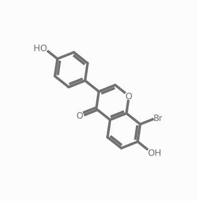 O=c1c(-c2ccc(O)cc2)coc2c(Br)c(O)ccc12